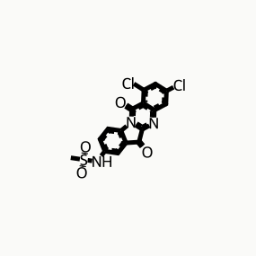 CS(=O)(=O)Nc1ccc2c(c1)C(=O)c1nc3cc(Cl)cc(Cl)c3c(=O)n1-2